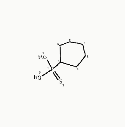 OP(O)(=S)C1CCCCC1